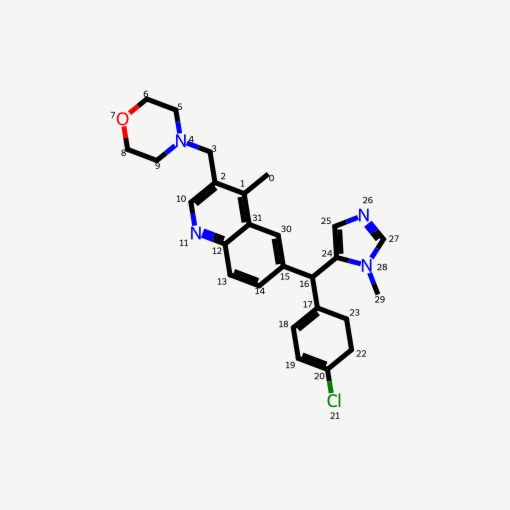 Cc1c(CN2CCOCC2)cnc2ccc(C(C3=CC=C(Cl)CC3)c3cncn3C)cc12